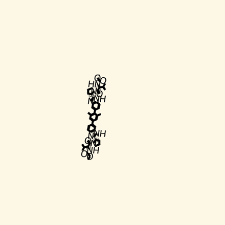 COC(=O)N[C@H](C(=O)N1CCC[C@H]1c1nc2cc(-c3c(C)cc(-c4ccc5nc([C@@H]6CCCN6C(=O)[C@@H](NC(=O)OC)C(C)C)[nH]c5c4)cc3C)ccc2[nH]1)C(C)C